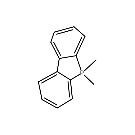 C[P]1(C)c2ccccc2-c2ccccc21